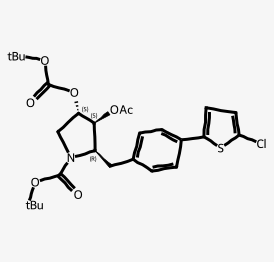 CC(=O)O[C@@H]1[C@@H](OC(=O)OC(C)(C)C)CN(C(=O)OC(C)(C)C)[C@@H]1Cc1ccc(-c2ccc(Cl)s2)cc1